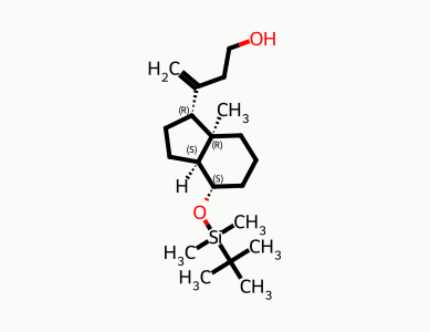 C=C(CCO)[C@H]1CC[C@@H]2[C@@H](O[Si](C)(C)C(C)(C)C)CCC[C@]12C